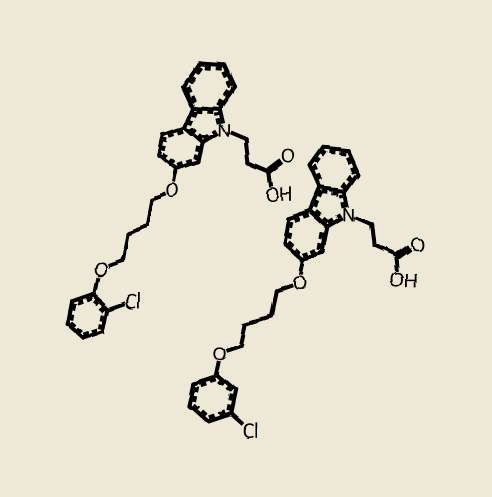 O=C(O)CCn1c2ccccc2c2ccc(OCCCCOc3cccc(Cl)c3)cc21.O=C(O)CCn1c2ccccc2c2ccc(OCCCCOc3ccccc3Cl)cc21